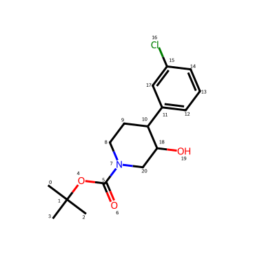 CC(C)(C)OC(=O)N1CCC(c2cccc(Cl)c2)C(O)C1